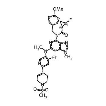 CCc1cc(C2=CCN(S(C)(=O)=O)CC2)ncc1N(C)c1cc2c(ncn2C)c(N(Cc2ccc(OC)cc2)C(=O)[C@H]2C[C@H]2F)n1